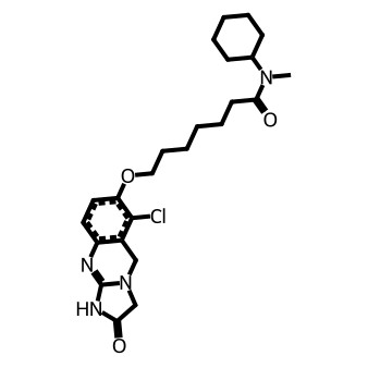 CN(C(=O)CCCCCCOc1ccc2c(c1Cl)CN1CC(=O)NC1=N2)C1CCCCC1